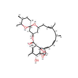 CC1=C[C@H]2C(=O)O[C@H]3CC(C/C=C(\C)C[C@@H](C)C=CC=C4CO[C@H]([C@@H]1O)[C@@]42O)O[C@@]1(CC[C@H](C)C(C)O1)C3